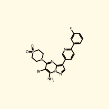 Nc1c(Br)c(N2CCS(=O)(=O)CC2)nc2c(-c3ccc(-c4cccc(F)c4)nc3)cnn12